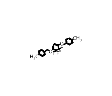 Cc1ccc(COC2=CC=C(OCc3ccc(C)cc3)C(F)(F)C2(F)F)cc1